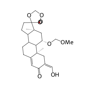 COCO[C@H]1C[C@@]2(C)C(CCC23OCOC32COCO2)C2CCC3=CC(=O)/C(=C\O)C[C@]3(C)C21